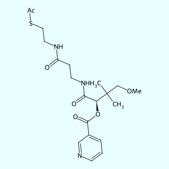 COCC(C)(C)[C@@H](OC(=O)c1cccnc1)C(=O)NCCC(=O)NCCSC(C)=O